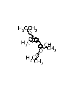 C=C(C)COCCOc1ccc(Cc2ccc(OCCOCC(=C)C)c(CC(=C)C)c2)cc1CC(=C)C